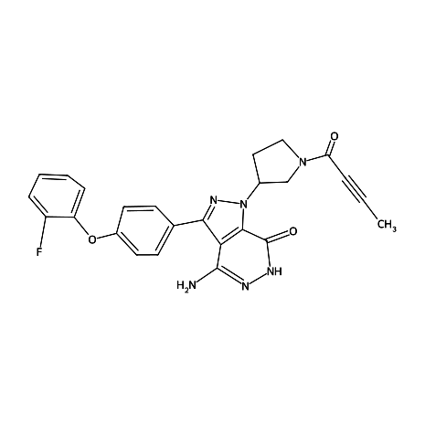 CC#CC(=O)N1CCC(n2nc(-c3ccc(Oc4ccccc4F)cc3)c3c(N)n[nH]c(=O)c32)C1